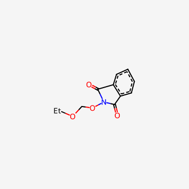 CCOCON1C(=O)c2ccccc2C1=O